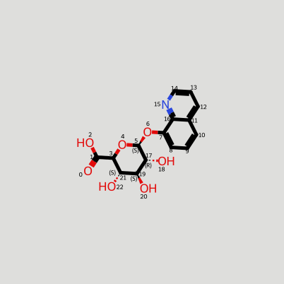 O=C(O)C1O[C@@H](Oc2cccc3cccnc23)[C@H](O)[C@@H](O)[C@@H]1O